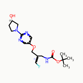 CC(C)(C)OC(=O)NC/C(=C\F)COc1cnc(N2CC[C@H](O)C2)nc1